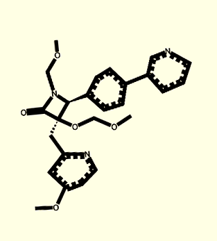 COCO[C@@]1(Cc2cc(OC)ccn2)C(=O)N(COC)[C@H]1c1ccc(-c2cccnc2)cc1